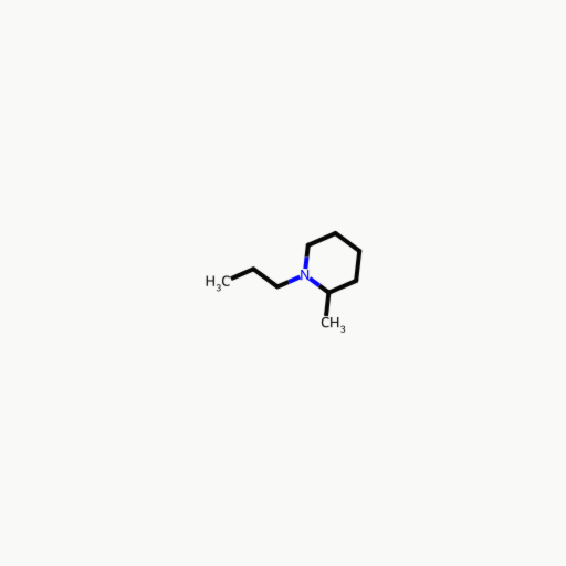 CCCN1CCCCC1C